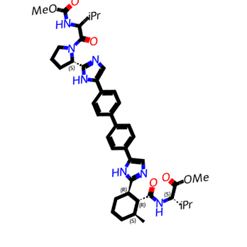 COC(=O)NC(C(=O)N1CCC[C@H]1c1ncc(-c2ccc(-c3ccc(-c4cnc([C@@H]5CCC[C@H](C)[C@H]5C(=O)N[C@H](C(=O)OC)C(C)C)[nH]4)cc3)cc2)[nH]1)C(C)C